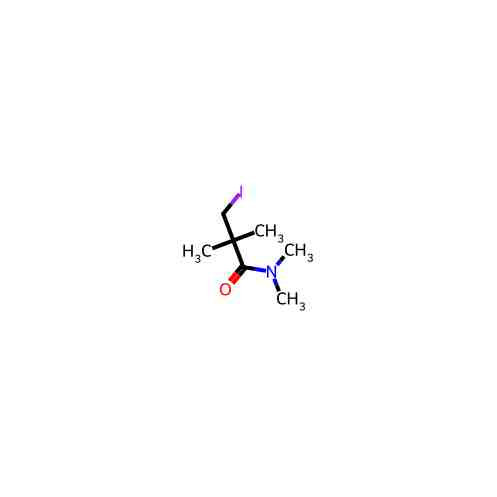 CN(C)C(=O)C(C)(C)CI